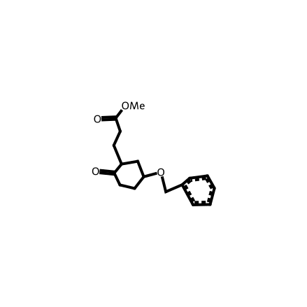 COC(=O)CCC1CC(OCc2ccccc2)CCC1=O